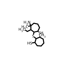 CCC1C(SC2C(C)CCCCC2S)C(S)CCCC1(C)N